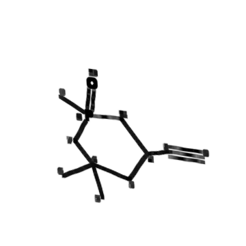 C#CC1CC(C)(C)CP(C)(=O)C1